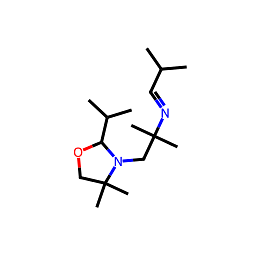 CC(C)C=NC(C)(C)CN1C(C(C)C)OCC1(C)C